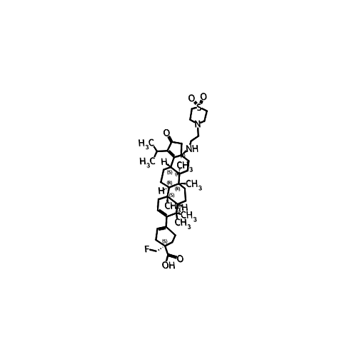 CC(C)C1=C2[C@H]3CC[C@@H]4[C@@]5(C)CC=C(C6=CC[C@](CF)(C(=O)O)CC6)C(C)(C)[C@@H]5CC[C@@]4(C)[C@]3(C)CC[C@@]2(NCCN2CCS(=O)(=O)CC2)CC1=O